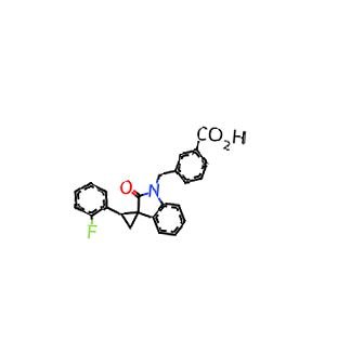 O=C(O)c1cccc(CN2C(=O)C3(CC3c3ccccc3F)c3ccccc32)c1